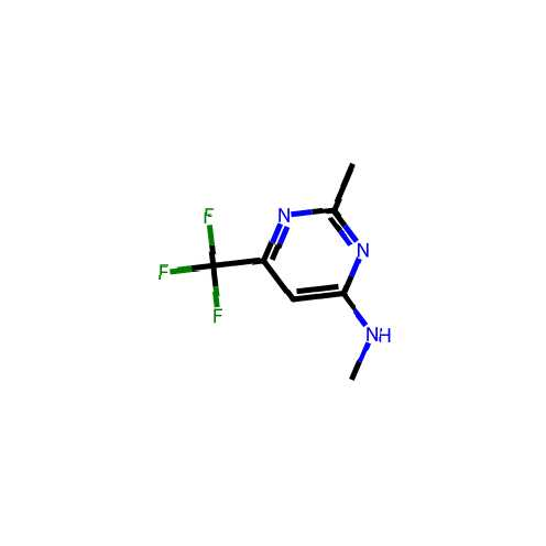 CNc1cc(C(F)(F)F)nc(C)n1